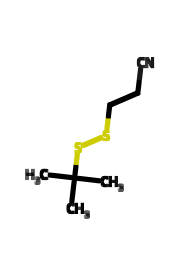 CC(C)(C)SSCCC#N